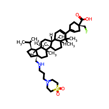 CC(C)[C@@H]1CC[C@]2(CNCCCN3CCS(=O)(=O)CC3)CC[C@]3(C)[C@H](CC[C@@H]4[C@@]5(C)CC=C(C6=CC[C@@](CF)(C(=O)O)CC6)C(C)(C)[C@@H]5CC[C@]43C)[C@@H]12